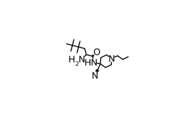 CCCN1CCC(C#N)(NC(=O)C(N)CC(C)(C)C(C)(C)C)CC1